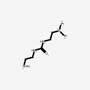 CC(=O)NCCNC(=O)NCCN(C(C)C)C(C)C